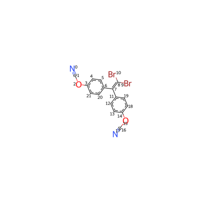 N#COc1ccc(C(=C(Br)Br)c2ccc(OC#N)cc2)cc1